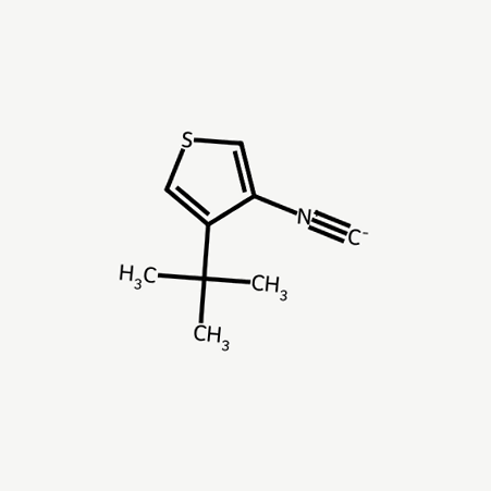 [C-]#[N+]c1cscc1C(C)(C)C